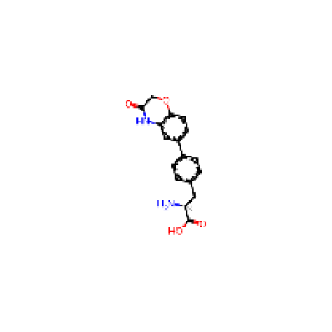 N[C@@H](Cc1ccc(-c2ccc3c(c2)NC(=O)CO3)cc1)C(=O)O